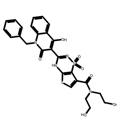 O=C(c1csc2c1S(=O)(=O)N=C(c1c(O)c3ccccc3n(Cc3ccccc3)c1=O)N2)N(CCO)CCO